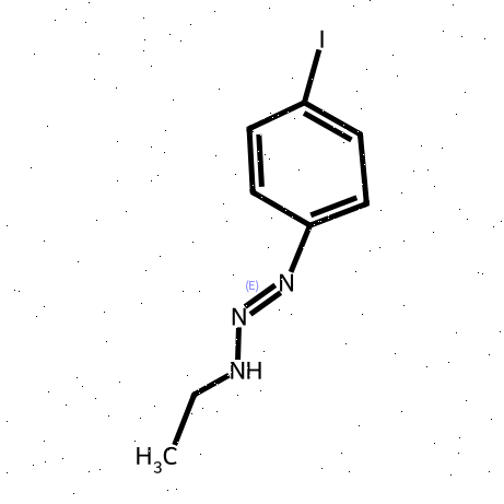 CCN/N=N/c1ccc(I)cc1